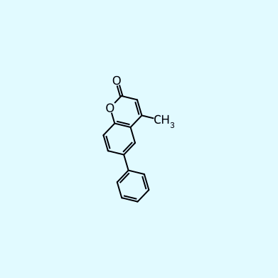 Cc1cc(=O)oc2ccc(-c3ccccc3)cc12